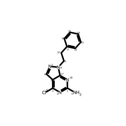 Nc1nc(Cl)c2cnn(CCc3ccccc3)c2n1